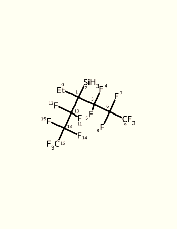 CCC([SiH3])(C(F)(F)C(F)(F)C(F)(F)F)C(F)(F)C(F)(F)C(F)(F)F